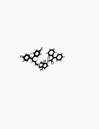 O=C(N[C@@H]1CC[C@H]2CN(CCCC(c3ccc(F)cc3)c3ccc(F)cc3)C[C@H]21)C(C1CCCCC1)C1CCCCC1